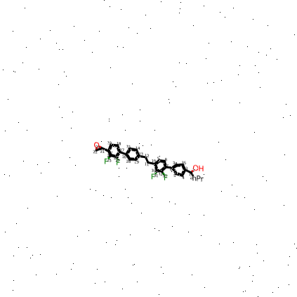 CCCC(O)c1ccc(-c2ccc(CCc3ccc(-c4ccc(C5CO5)c(F)c4F)cc3)c(F)c2F)cc1